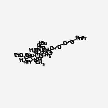 CCCOCCOCCOCCOCCOc1cccc(C(C)(C)[C@@H](C(=O)N[C@H](C(=O)N(C)[C@H](/C=C(\C)C(=O)OCC)C(C)C)C(C)(C)C)N(C)C(=O)OC(C)(C)C)c1